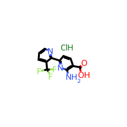 Cl.Nc1nc(-c2ncccc2C(F)(F)F)ccc1C(=O)O